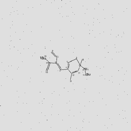 C=C/C(=C\C1=CCC(C)(NC(C)(C)C)C=C1C)C(=C)C(C)(C)C